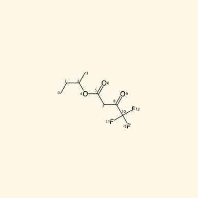 CCC(C)OC(=O)CC(=O)C(F)(F)F